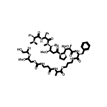 CCC(CO)OC(COC(=O)NCCC(=O)NC(C)C(=O)OCCCNC(=O)[C@H](Cc1ccccc1)NC(=O)[C@H](C)[C@@H](OC)[C@@H]1CCCN1C(=O)C[C@@H](OC)[C@H]([C@@H](C)CC)N(C)C(=O)[C@@H](NC(=O)[C@H](C(C)C)N(C)C)C(C)C)OC